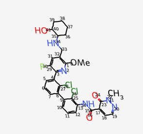 COc1nc(-c2cccc(-c3cccc(NC(=O)c4ccnn(C)c4=O)c3Cl)c2Cl)c(F)cc1CNC1CCCCC1O